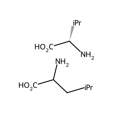 CC(C)CC(N)C(=O)O.CC(C)[C@H](N)C(=O)O